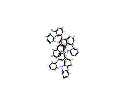 c1ccc(N(c2ccc(-c3ccccc3-n3c4ccccc4c4ccccc43)cc2)c2ccc(-c3cccc4oc5ccccc5c34)cc2)c(-c2cccc3oc4cc5ccccc5cc4c23)c1